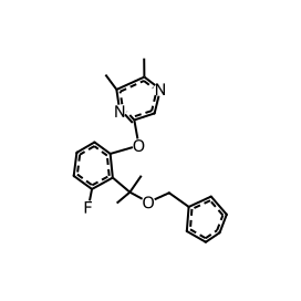 Cc1ncc(Oc2cccc(F)c2C(C)(C)OCc2ccccc2)nc1C